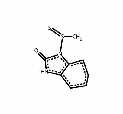 CS(=S)n1c(=O)[nH]c2ccccc21